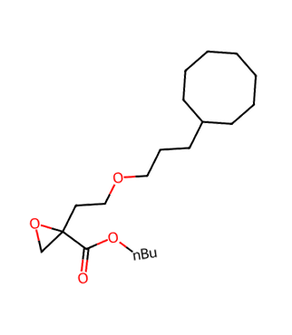 CCCCOC(=O)C1(CCOCCCC2CCCCCCC2)CO1